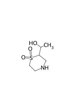 CC(O)C1CNCCS1(=O)=O